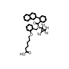 [2H]C1C([2H])([2H])C1([2H])N(Cc1ccccc1OCCCCCC(=O)O)C(=O)c1ccccc1-c1ccc2ccccc2c1